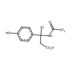 CCC(CC(=O)O)(NC(=O)C(F)(F)F)c1ccc(O)cc1